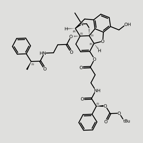 C[C@H](C(=O)NCCC(=O)O[C@@]12CC=C(OC(=O)CCNC(=O)[C@@H](OC(=O)OC(C)(C)C)c3ccccc3)[C@@H]3Oc4c(CO)ccc5c4[C@@]31CCN(C)[C@@H]2C5)c1ccccc1